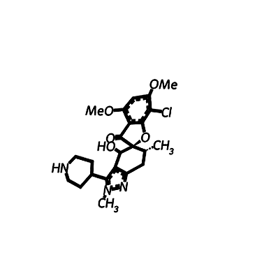 COc1cc(OC)c2c(c1Cl)O[C@]1(C2=O)C(O)c2c(nn(C)c2C2CCNCC2)C[C@H]1C